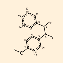 COc1ccc(C(C)C(C)c2cncnc2)cn1